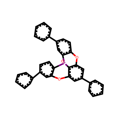 O=P12c3ccc(-c4ccccc4)cc3Oc3cc(-c4ccccc4)cc(c31)Oc1ccc(-c3ccccc3)cc12